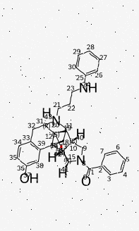 O=C(c1ccccc1)N1C[C@H]2C[C@@]34CC[C@@H]1[C@@H]2[C@@]31CCN(CCCNc2ccccc2)[C@@H]4Cc2ccc(O)cc21